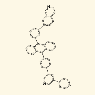 c1cc(-c2ccc3ccncc3c2)cc(-c2c3ccccc3c(-c3ccc(-c4cncc(-c5ccncc5)c4)cc3)c3ccccc23)c1